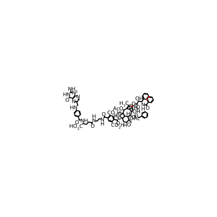 CC(=O)OC1C(=O)[C@]2(C)C(OC(=O)c3cc(C(=O)O)c(C(=O)NCCNC(=O)CC[C@H](NC(=O)c4ccc(NCc5cnc6nc(N)[nH]c(=O)c6n5)cc4)C(=O)O)cc3C(=O)O)C[C@H]3OC[C@@]3(OC(C)=O)[C@H]2[C@H](OOCc2ccccc2)[C@]2(O)C[C@H](OC(=O)[C@H](O)[C@@H](NC(=O)c3ccccc3)c3ccccc3)C(C)=C1C2(C)C